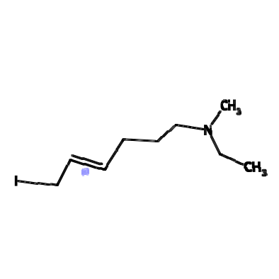 CCN(C)CCC/C=C/CI